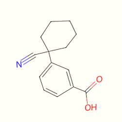 N#CC1(c2cccc(C(=O)O)c2)CCCCC1